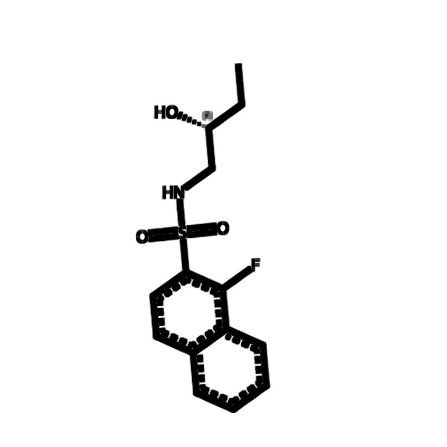 CC[C@@H](O)CNS(=O)(=O)c1ccc2ccccc2c1F